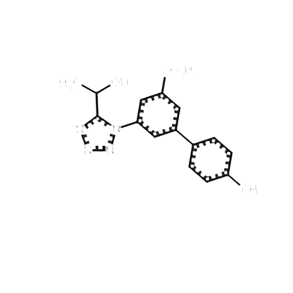 Cc1ccc(-c2cc(C(=O)O)cc(-n3nnnc3C(C)O)c2)cc1